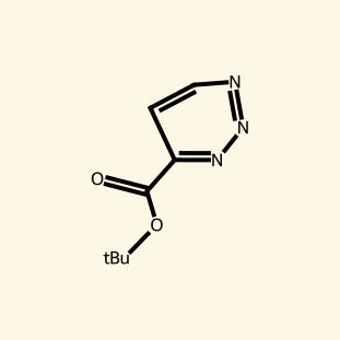 CC(C)(C)OC(=O)c1ccnnn1